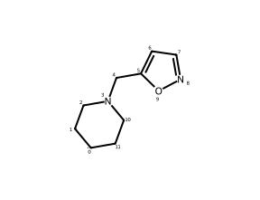 [CH]1CCN(Cc2ccno2)CC1